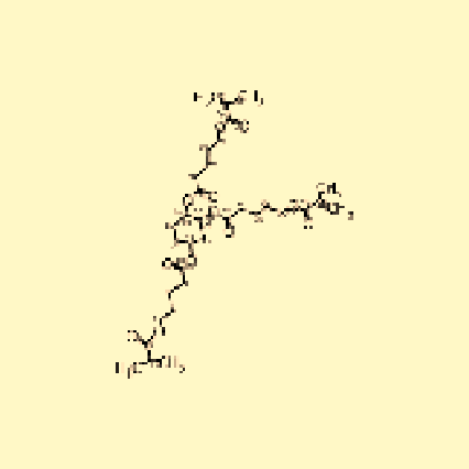 C=C(C)C(=O)OCCCCC(=O)OC1CC[C@@H](OC(=O)CCCCOC(=O)C(=C)C)[C@@H](OC(=O)CCCCOC(=O)C(=C)C)C1